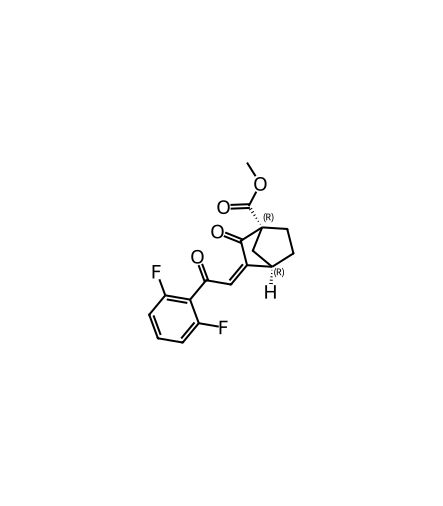 COC(=O)[C@]12CC[C@H](C1)C(=CC(=O)c1c(F)cccc1F)C2=O